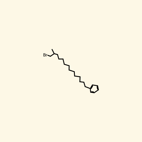 CC(CBr)CCCCCCCCCCCCc1ccccc1